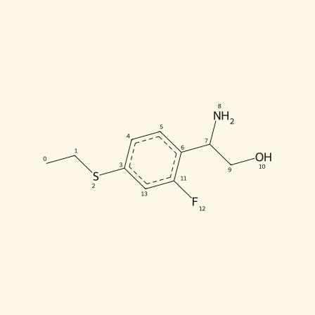 CCSc1ccc(C(N)CO)c(F)c1